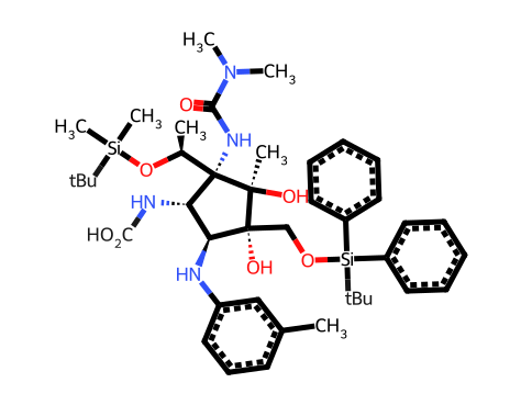 Cc1cccc(N[C@H]2[C@H](NC(=O)O)[C@@](NC(=O)N(C)C)([C@H](C)O[Si](C)(C)C(C)(C)C)[C@@](C)(O)[C@@]2(O)CO[Si](c2ccccc2)(c2ccccc2)C(C)(C)C)c1